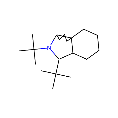 CC(C)(C)C1C2CCCCC23CCCC3N1C(C)(C)C